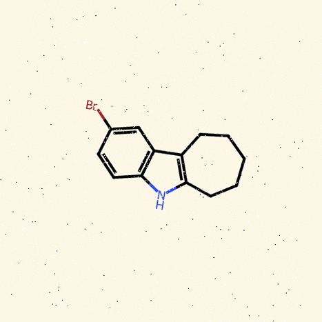 Brc1ccc2[nH]c3c(c2c1)CCCCC3